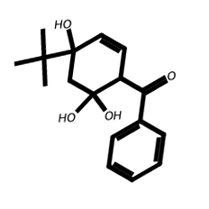 CC(C)(C)C1(O)C=CC(C(=O)c2ccccc2)C(O)(O)C1